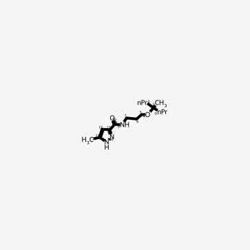 CCCC(C)(CCC)OCCCNC(=O)c1cc(C)[nH]n1